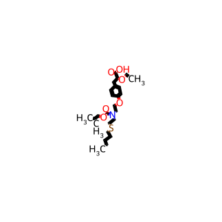 CCCCCSCCN(CCOc1ccc(CC(OCC)C(=O)O)cc1)C(=O)OCC(C)C